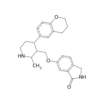 CC1NCCC(c2ccc3c(c2)CCCO3)C1COc1ccc2c(c1)C(=O)NC2